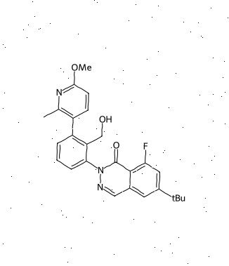 COc1ccc(-c2cccc(-n3ncc4cc(C(C)(C)C)cc(F)c4c3=O)c2CO)c(C)n1